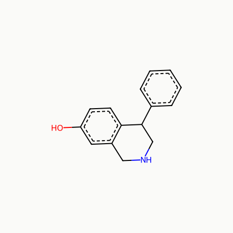 Oc1ccc2c(c1)CNCC2c1ccccc1